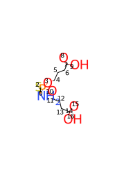 NP(=S)(OCCCC(=O)O)OCCCC(=O)O